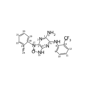 Nc1nc2c(nc1Nc1ccccc1C(F)(F)F)NON2c1ccccc1F